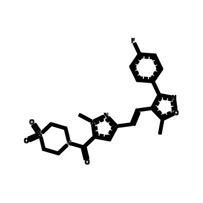 Cc1onc(-c2ccc(F)cc2)c1C=Cc1cc(C(=O)N2CCS(=O)(=O)CC2)n(C)n1